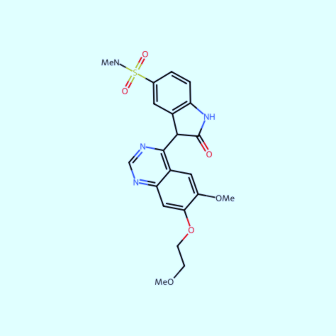 CNS(=O)(=O)c1ccc2c(c1)C(c1ncnc3cc(OCCOC)c(OC)cc13)C(=O)N2